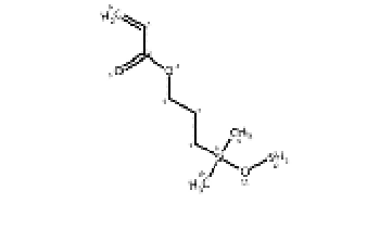 C=CC(=O)OCCC[Si](C)(C)O[SiH3]